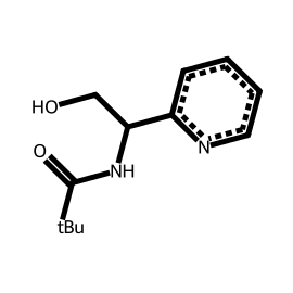 CC(C)(C)C(=O)NC(CO)c1ccccn1